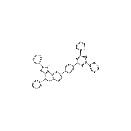 Cc1c(-c2ccccc2)nn2c(-c3ccccc3)cc3ccc(-c4ccc(-c5nc(-c6ccccc6)nc(-c6ccccc6)n5)cc4)cc3c12